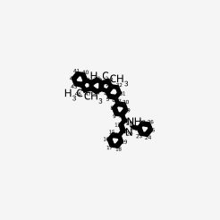 CC1(C)C2=C(C=C(c3ccc(C4C=C(c5ccccc5)N=C(c5ccccc5)N4)cc3)CC2)c2cc3c(cc21)-c1ccccc1C3(C)C